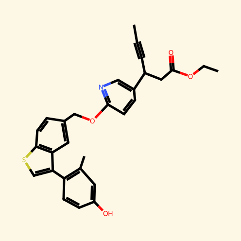 CC#CC(CC(=O)OCC)c1ccc(OCc2ccc3scc(-c4ccc(O)cc4C)c3c2)nc1